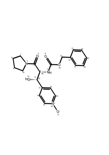 O=C(N[C@@H](C(=O)N1CCCC1)[C@@H](O)c1cc[n+]([O-])cc1)OCc1ccccc1